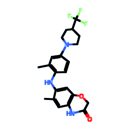 Cc1cc(N2CCC(C(F)(F)F)CC2)ccc1Nc1cc2c(cc1C)NC(=O)CO2